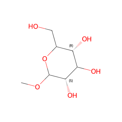 COC1OC(CO)[C@H](O)C(O)[C@@H]1O